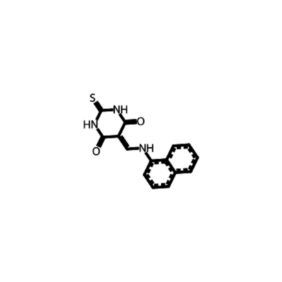 O=C1NC(=S)NC(=O)C1=CNc1cccc2ccccc12